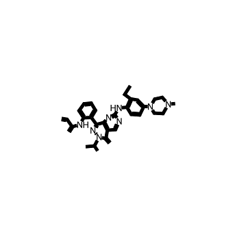 C=CC(=C)Nc1ccccc1C1=NN(C(C)C)C(=C)c2cnc(Nc3ccc(N4CCN(C)CC4)cc3CC)nc21